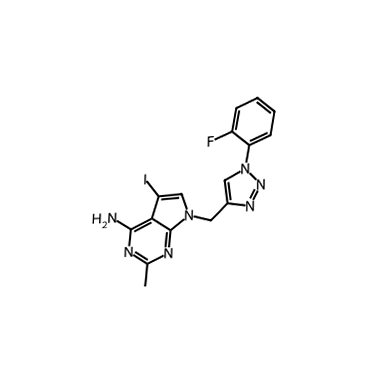 Cc1nc(N)c2c(I)cn(Cc3cn(-c4ccccc4F)nn3)c2n1